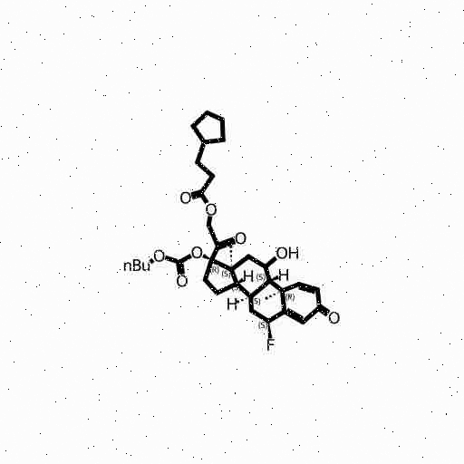 CCCCOC(=O)O[C@]1(C(=O)COC(=O)CCC2CCCC2)CC[C@H]2[C@@H]3C[C@H](F)C4=CC(=O)C=C[C@]4(C)[C@H]3C(O)C[C@@]21C